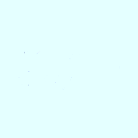 CCCC(=O)C=Cc1c(-c2ccccc2)oc2ncnc(O[C@H](C)CCCCC(=O)O)c12